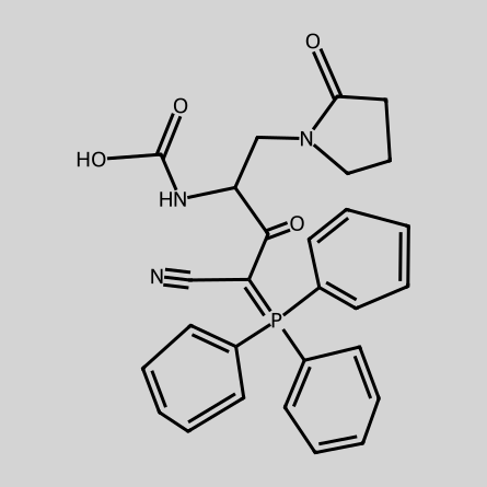 N#CC(C(=O)C(CN1CCCC1=O)NC(=O)O)=P(c1ccccc1)(c1ccccc1)c1ccccc1